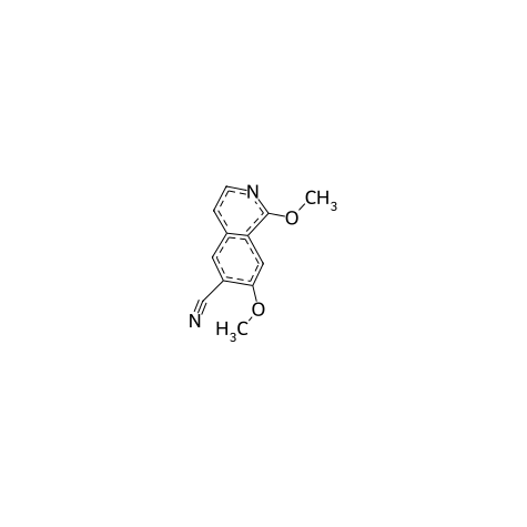 COc1cc2c(OC)nccc2cc1C#N